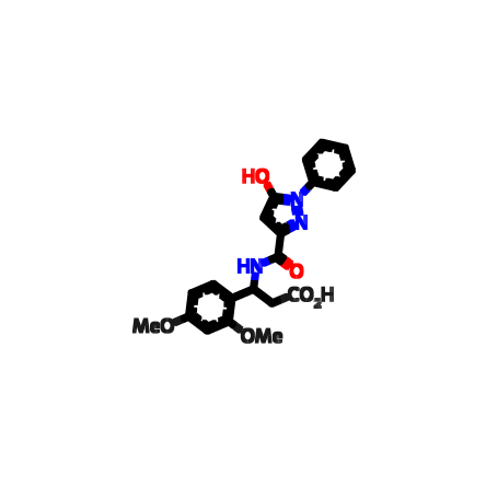 COc1ccc(C(CC(=O)O)NC(=O)c2cc(O)n(-c3ccccc3)n2)c(OC)c1